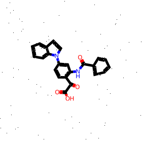 O=C(O)C(=O)c1ccc(-n2ccc3ccccc32)cc1NC(=O)c1ccccc1